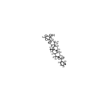 CC(=O)O[C@@H]([C@H]1C[C@@H](C)C2C(CC3[C@@H]4CCC5C(CC[C@H](OC(=O)c6cccnc6)C5(C)C)[C@]4(C)CC[C@]23C)O1)C(C)(C)O